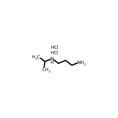 CC(C)NCCCN.Cl.Cl